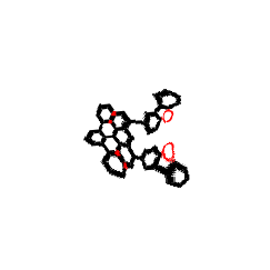 c1ccc(-c2cccc(-c3ccccc3)c2-c2c3cccc(-c4ccc5oc6ccccc6c5c4)c3cc3c(-c4ccc5oc6ccccc6c5c4)cccc23)cc1